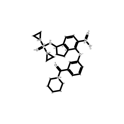 O=C(c1cccc(Oc2c([N+](=O)[O-])ccc3c2CCC3OP(=O)(N2CC2)N2CC2)c1)N1CCCCC1